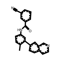 Cc1ccc(NC(=O)c2cccc(C#N)c2)cc1-c1ccc2ccncc2c1